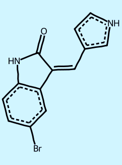 O=C1Nc2ccc(Br)cc2/C1=C/c1cc[nH]c1